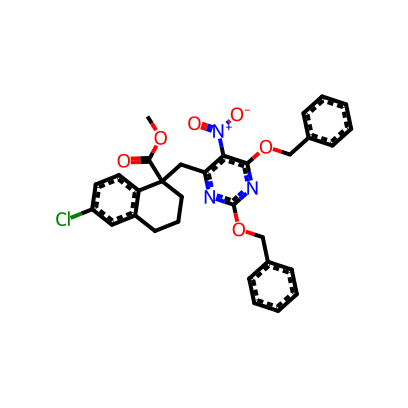 COC(=O)C1(Cc2nc(OCc3ccccc3)nc(OCc3ccccc3)c2[N+](=O)[O-])CCCc2cc(Cl)ccc21